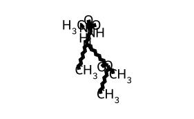 CCCCCCCCC(CC)OC(=O)CCCCCCCN(CCCCCCCC)CCCNc1c(NC)c(=O)c1=O